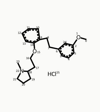 COc1cccc(CCc2ccccc2OCCC2CCCN2C)c1.Cl